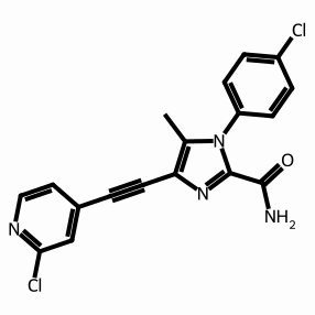 Cc1c(C#Cc2ccnc(Cl)c2)nc(C(N)=O)n1-c1ccc(Cl)cc1